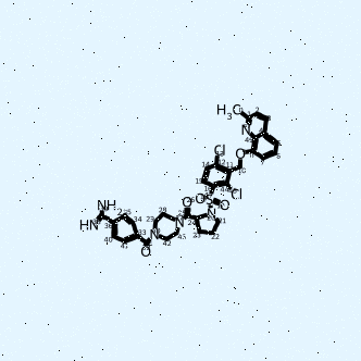 Cc1ccc2cccc(OCc3c(Cl)ccc(S(=O)(=O)N4CCCC4C(=O)N4CCN(C(=O)c5ccc(C(=N)N)cc5)CC4)c3Cl)c2n1